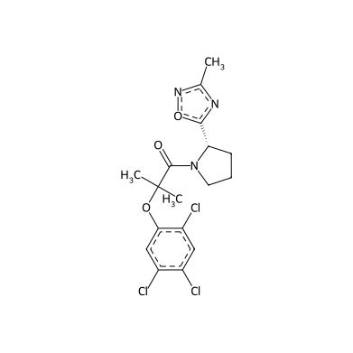 Cc1noc([C@@H]2CCCN2C(=O)C(C)(C)Oc2cc(Cl)c(Cl)cc2Cl)n1